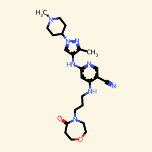 Cc1nn(C2CCN(C)CC2)cc1Nc1cc(NCCCN2CCOCCC2=O)c(C#N)cn1